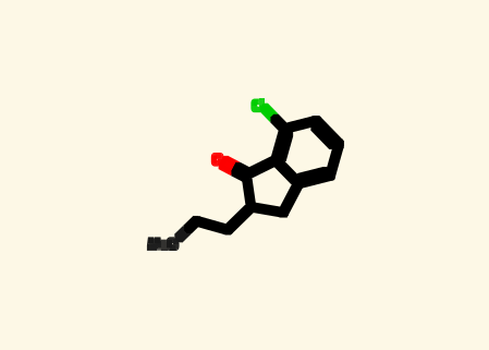 COCCC1Cc2cccc(Cl)c2C1=O